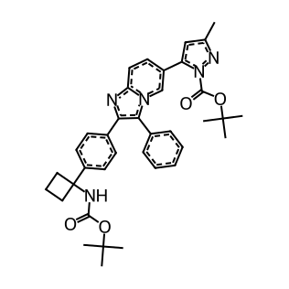 Cc1cc(-c2ccc3nc(-c4ccc(C5(NC(=O)OC(C)(C)C)CCC5)cc4)c(-c4ccccc4)n3c2)n(C(=O)OC(C)(C)C)n1